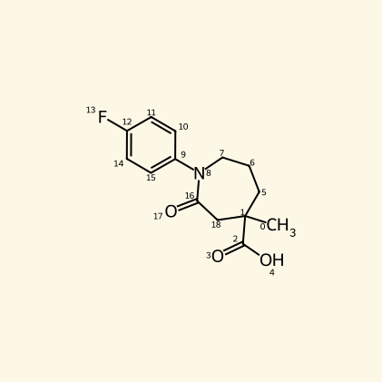 CC1(C(=O)O)CCCN(c2ccc(F)cc2)C(=O)C1